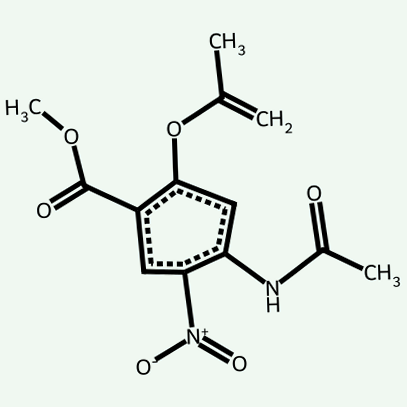 C=C(C)Oc1cc(NC(C)=O)c([N+](=O)[O-])cc1C(=O)OC